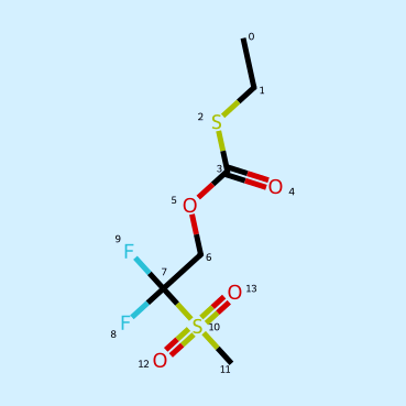 CCSC(=O)OCC(F)(F)S(C)(=O)=O